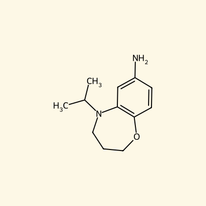 CC(C)N1CCCOc2ccc(N)cc21